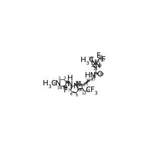 CN1CC[C@@H](Nc2cccc3c(CC(F)(F)F)c(C#CCNC(=O)c4cn(C)c(C(F)F)n4)nn23)[C@@H](F)C1